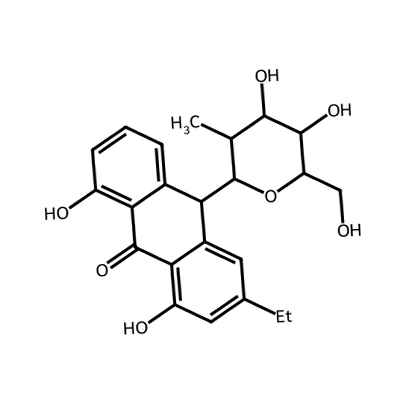 CCc1cc(O)c2c(c1)C(C1OC(CO)C(O)C(O)C1C)c1cccc(O)c1C2=O